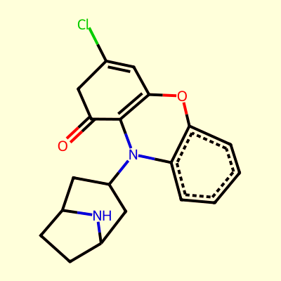 O=C1CC(Cl)=CC2=C1N(C1CC3CCC(C1)N3)c1ccccc1O2